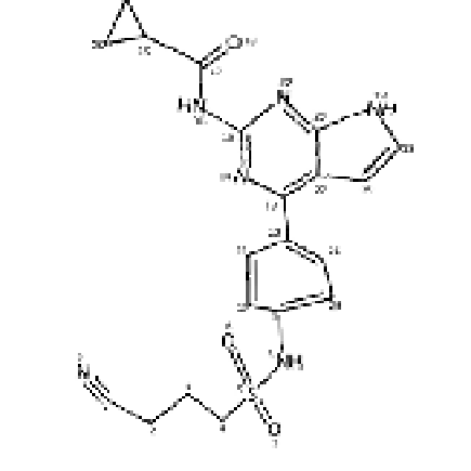 N#CCCCS(=O)(=O)Nc1ccc(-c2nc(NC(=O)C3CC3)nc3[nH]ccc23)cc1